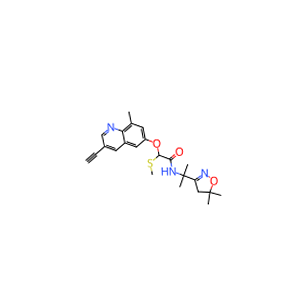 C#Cc1cnc2c(C)cc(OC(SC)C(=O)NC(C)(C)C3=NOC(C)(C)C3)cc2c1